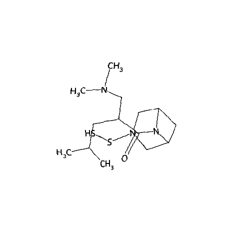 CC(C)CC(CN(C)C)C(=O)N1C2CC1CN(SS)C2